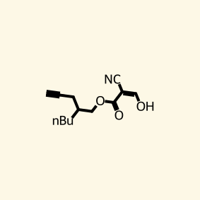 C#CCC(CCCC)COC(=O)/C(C#N)=C\O